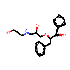 O=C(c1ccccc1)C(Cc1ccccc1)OCC(O)CNCCO